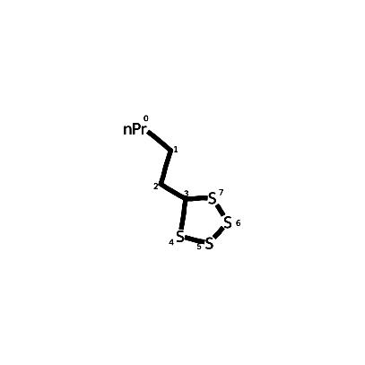 CCCCCC1SSSS1